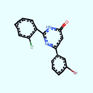 O=c1cc(-c2cccc(Br)c2)nc(-c2ccccc2Cl)[nH]1